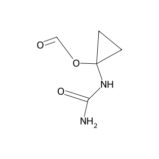 NC(=O)NC1(OC=O)CC1